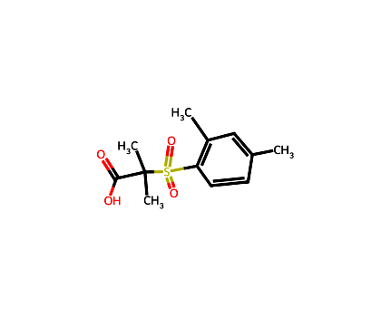 Cc1ccc(S(=O)(=O)C(C)(C)C(=O)O)c(C)c1